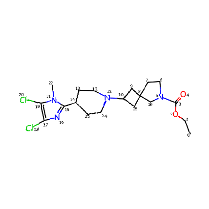 CCOC(=O)N1CCC2(CC(N3CCC(c4nc(Cl)c(Cl)n4C)CC3)C2)C1